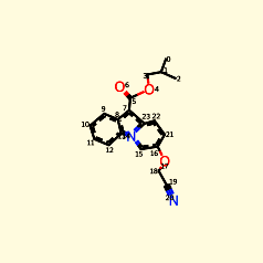 CC(C)COC(=O)c1c2ccccc2n2cc(OCC#N)ccc12